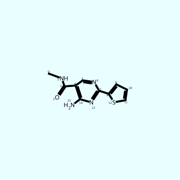 CNC(=O)c1cnc(-c2cccs2)nc1N